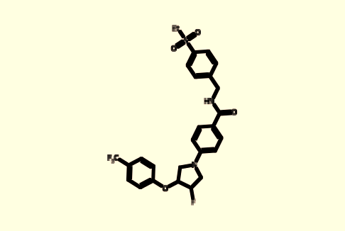 CCS(=O)(=O)c1ccc(CNC(=O)c2ccc(N3CC(F)C(Oc4ccc(C(F)(F)F)cc4)C3)cc2)cc1